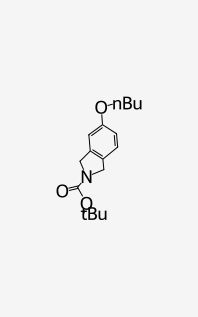 CCCCOc1ccc2c(c1)CN(C(=O)OC(C)(C)C)C2